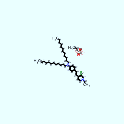 CCCCCCCCCCCCN(CCCCCCCCCCCC)c1ccc(/C=C/c2cc[n+](CC)cc2Br)cc1.CCOS(=O)(=O)[O-]